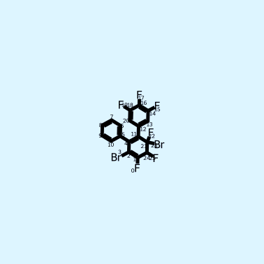 FC1=C(Br)C(c2ccccc2)=C(c2cc(F)c(F)c(F)c2)C(F)(Br)C1F